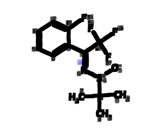 CC(C)(C)[S+]([O-])/N=C(/c1ccccc1F)C(F)(F)F